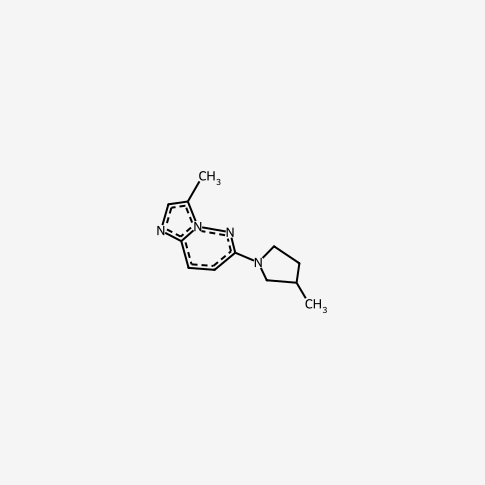 Cc1cnc2ccc(N3CCC(C)C3)nn12